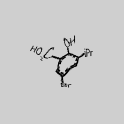 CC(C)c1cc(Br)cc(C(=O)O)c1O